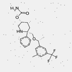 Cc1cc([C@@H](C)OC[C@@]2(c3ccccc3)CC[C@@H](OC(N)=O)CN2)cc(C(F)(F)F)c1